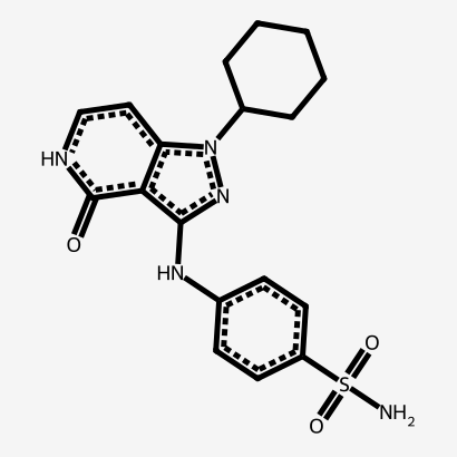 NS(=O)(=O)c1ccc(Nc2nn(C3CCCCC3)c3cc[nH]c(=O)c23)cc1